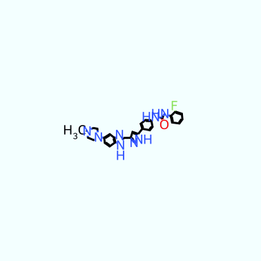 CN1CCN(c2ccc3[nH]c(-c4cc(-c5ccc(NC(=O)Nc6ccccc6F)cc5)[nH]n4)nc3c2)CC1